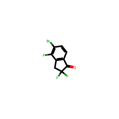 O=C1c2ccc(Br)c(F)c2CC1(F)F